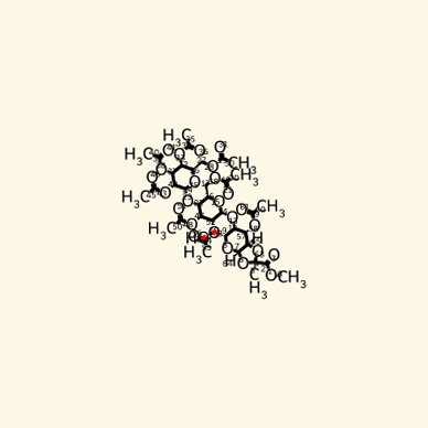 COC(=O)[C@@]1(C)O[C@H]2O[C@H](CO)[C@@H](O[C@@H]3O[C@H](COC(C)=O)[C@H](O[C@H]4O[C@H](COC(C)=O)[C@H](OC(C)=O)[C@H](OC(C)=O)[C@H]4OC(C)=O)[C@H](OC(C)=O)[C@H]3OC(C)=O)[C@H](OC(C)=O)[C@H]2O1